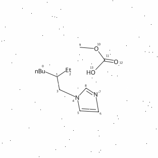 CCCCC(CC)Cn1ccnc1.COC(=O)O